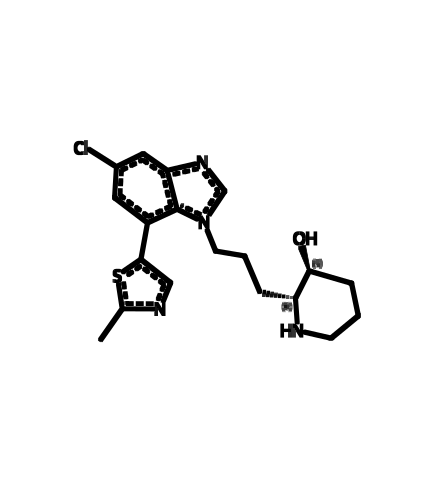 Cc1ncc(-c2cc(Cl)cc3ncn(CCC[C@H]4NCCC[C@@H]4O)c23)s1